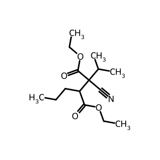 CCCC(C(=O)OCC)C(C#N)(C(=O)OCC)C(C)C